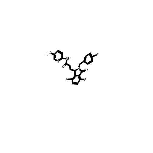 O=C(CCC1c2c(F)ccc(F)c2C(=O)N1Cc1ccc(F)cc1)Nc1ccc(C(F)(F)F)cn1